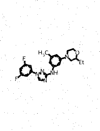 CCC1CN(c2cc(C)cc(Nc3ncn(-c4cc(F)cc(F)c4)n3)c2)CCO1